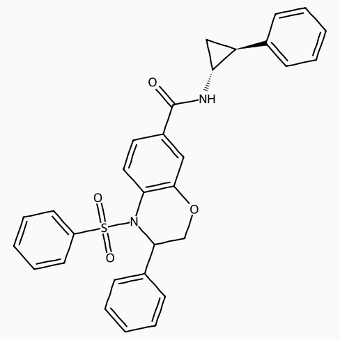 O=C(N[C@@H]1C[C@H]1c1ccccc1)c1ccc2c(c1)OCC(c1ccccc1)N2S(=O)(=O)c1ccccc1